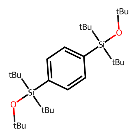 CC(C)(C)O[Si](c1ccc([Si](OC(C)(C)C)(C(C)(C)C)C(C)(C)C)cc1)(C(C)(C)C)C(C)(C)C